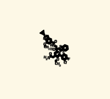 CCOc1c(CC(N)=O)cc(C(O)(CNC(=O)c2cc(OC)c3nn(C4CC4)cc3c2)c2cc3ccccc3s2)nc1-c1cc(Cl)c(F)cc1F